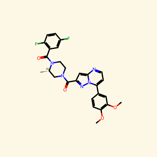 COc1ccc(-c2ccnc3cc(C(=O)N4CCN(C(=O)c5cc(F)ccc5F)[C@@H](C)C4)nn23)cc1OC